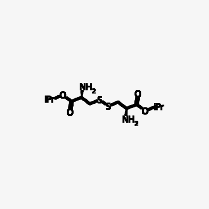 CC(C)OC(=O)[C@@H](N)CSSC[C@H](N)C(=O)OC(C)C